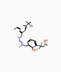 C\C=C/C=C(\C=C(/C)C(C)(C)C(C)C)CN(C)CCN(C)Cc1cccc(C(C)(C)CC(C)O)c1O